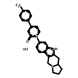 Cl.O=c1cc(-c2ccc(C(F)(F)F)cc2)ccn1-c1ccc2c3c([nH]c2c1)CC1CCCN1C3